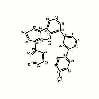 Clc1ccc(-c2cccc(-c3cccc4c3oc3c(-c5ccccc5)cccc34)c2)cc1